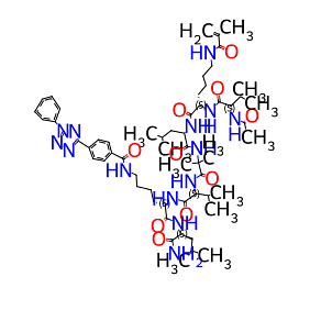 C=C(C)C(=O)NCCCC[C@H](NC(=O)[C@@H](NC(C)=O)C(C)C)C(=O)NC(CC(C)C)C(=O)NC(C)(C)C(=O)N[C@H](C(=O)N[C@@H](CCCCNC(=O)c1ccc(-c2nnn(-c3ccccc3)n2)cc1)C(=O)N[C@@H](CC(C)C)C(N)=O)C(C)C